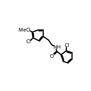 COc1ccc(CCNC(=O)c2ccccc2Cl)cc1Cl